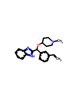 C=Cc1cccc(C(OC2CCN(C)CC2)c2nc3ccccc3[nH]2)c1